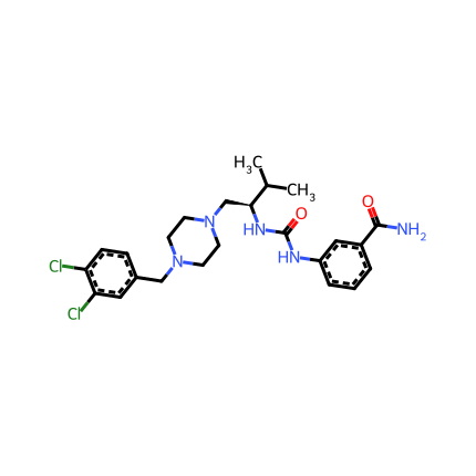 CC(C)[C@H](CN1CCN(Cc2ccc(Cl)c(Cl)c2)CC1)NC(=O)Nc1cccc(C(N)=O)c1